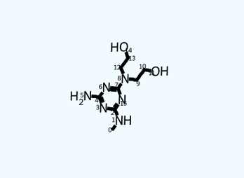 CNc1nc(N)nc(N(CCO)CCO)n1